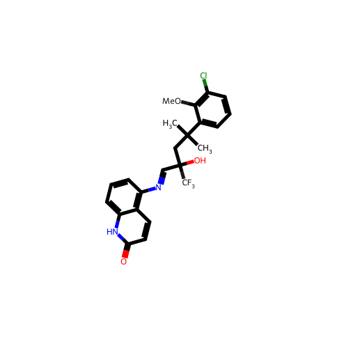 COc1c(Cl)cccc1C(C)(C)CC(O)(C=Nc1cccc2[nH]c(=O)ccc12)C(F)(F)F